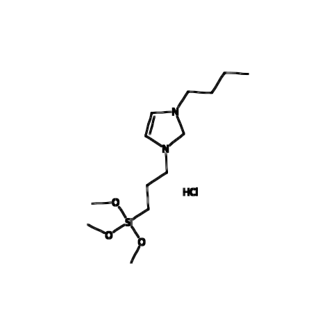 CCCCN1C=CN(CCC[Si](OC)(OC)OC)C1.Cl